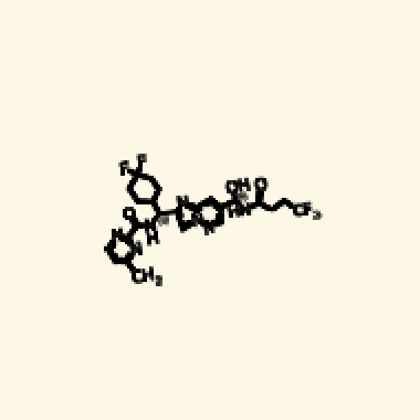 Cc1ccnc(C(=O)N[C@H](c2cn3ncc([C@@H](O)NC(=O)CCC(F)(F)F)cc3n2)C2CCC(F)(F)CC2)n1